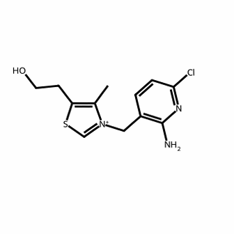 Cc1c(CCO)sc[n+]1Cc1ccc(Cl)nc1N